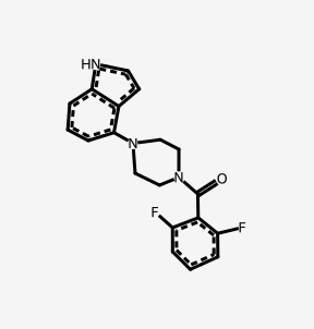 O=C(c1c(F)cccc1F)N1CCN(c2cccc3[nH]ccc23)CC1